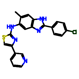 Cc1cc2[nH]c(-c3ccc(Cl)cc3)nc2cc1Nc1nc(-c2cccnc2)cs1